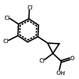 O=C(O)C1(Cl)CC1c1cc(Cl)c(Cl)c(Cl)c1